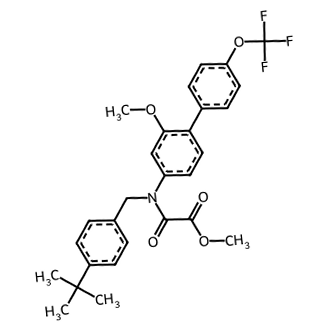 COC(=O)C(=O)N(Cc1ccc(C(C)(C)C)cc1)c1ccc(-c2ccc(OC(F)(F)F)cc2)c(OC)c1